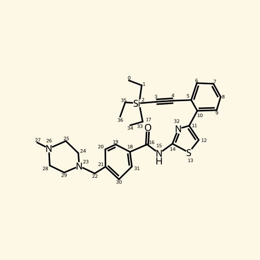 CC[Si](C#Cc1ccccc1-c1csc(NC(=O)c2ccc(CN3CCN(C)CC3)cc2)n1)(CC)CC